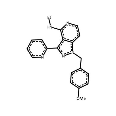 CCNc1nccc2c1c(-c1ccccn1)nn2Cc1ccc(OC)cc1